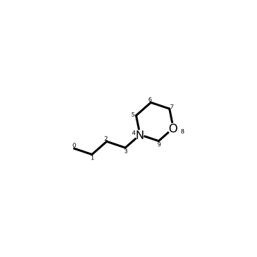 CCCCN1CCCOC1